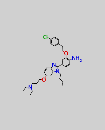 CCCCN1C(c2ccc(N)c(OCCc3ccc(Cl)cc3)c2)=NC2C=CC(OCCCN(CC)CC)=CC21